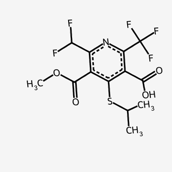 COC(=O)c1c(C(F)F)nc(C(F)(F)F)c(C(=O)O)c1SC(C)C